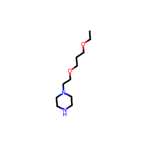 CCOCCCOCCN1CCNCC1